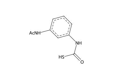 CC(=O)Nc1cccc(NC(=O)S)c1